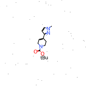 Cn1ccc(C2=CCN(C(=O)OC(C)(C)C)CC2)n1